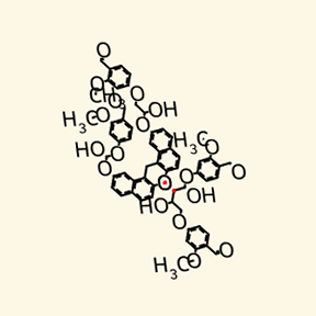 COc1cc(OCC(O)COc2ccc3ccc(OC(O)COc4ccc(C=O)c(OC)c4)cc3c2Cc2c(OCC(O)Oc3ccc(C=O)c(OC)c3)ccc3ccc(OC(O)Oc4ccc(C=O)c(OC)c4)cc23)ccc1C=O